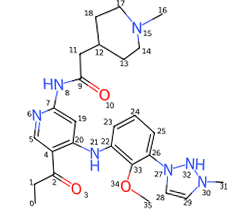 CCC(=O)c1cnc(NC(=O)CC2CCN(C)CC2)cc1Nc1cccc(N2C=CN(C)N2)c1OC